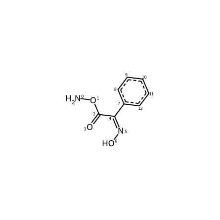 NOC(=O)C(=NO)c1ccccc1